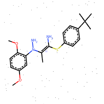 COc1ccc(OC)c(N(N)/C(C)=C(\N)Sc2ccc(C(C)(C)C)cc2)c1